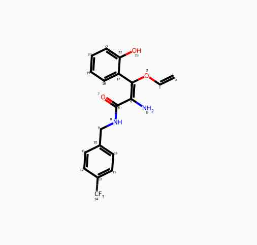 C=CO/C(=C(\N)C(=O)NCc1ccc(C(F)(F)F)cc1)c1ccccc1O